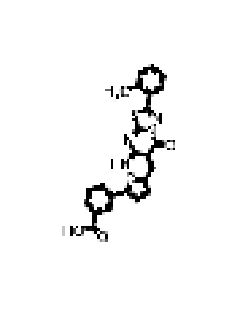 Cc1ccccc1C1=NN2C(=O)C(=Cc3ccc(-c4cccc(C(=O)O)c4)o3)C(=N)N=C2S1